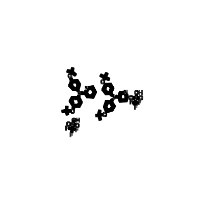 CC(C)(C)Oc1ccc([S+](c2ccc(OC(C)(C)C)cc2)c2ccccn2)cc1.CC(C)(C)Oc1ccc([S+](c2ccc(OC(C)(C)C)cc2)c2cccnc2)cc1.O=S(=O)(O)C(F)(F)F.O=S(=O)(O)C(F)(F)F